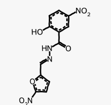 O=C(N/N=C/c1ccc([N+](=O)[O-])o1)c1cc([N+](=O)[O-])ccc1O